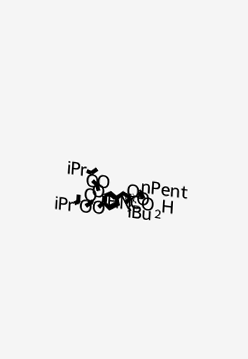 CCCCCC(=O)O[C@](Cc1ccc(OC(=O)OC(C)C(C)C)c(OC(=O)OC(C)C(C)C)c1)(NC(C)CC)C(=O)O